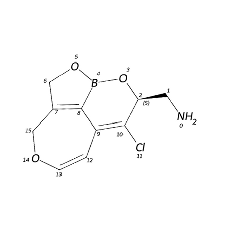 NC[C@@H]1OB2OCC3=C2C(=C1Cl)C=COC3